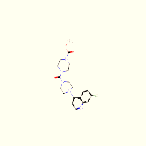 CC(C)(C)OC(=O)N1CCN(C(=O)N2CCN(c3ccnc4cc(F)ccc34)CC2)CC1